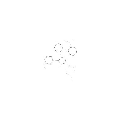 C[C@H](Nc1nccc(-c2sc(C3(O)CCN(C)CC3)nc2-c2cccc(Cl)c2)n1)c1ccccc1